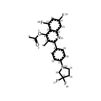 CC(=O)Oc1c(C)c(-c2ccc(N3CCC(F)(F)C3)cc2)nc2cc(F)cc(F)c12